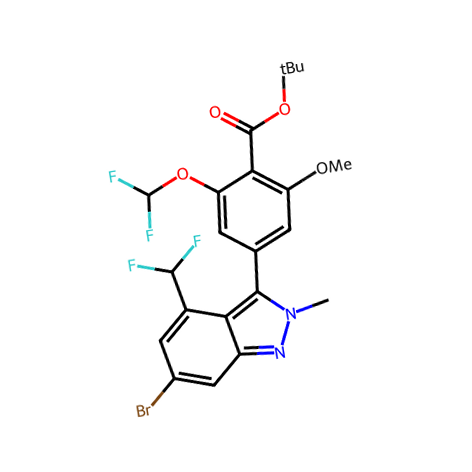 COc1cc(-c2c3c(C(F)F)cc(Br)cc3nn2C)cc(OC(F)F)c1C(=O)OC(C)(C)C